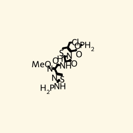 CO/N=C(\C(=O)N[C@@H]1C(=O)N2C(C(=O)OP)=C(CCl)CS[C@H]12)c1csc(NP)n1